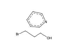 OCCCBr.c1ccncc1